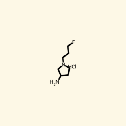 Cl.NC1CCN(CCCF)C1